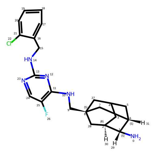 N[C@@H]1[C@@H]2CC3C[C@H]1C[C@@](CNc1nc(NCc4ccccc4Cl)ncc1F)(C3)C2